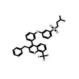 CC(C)CCS(=O)(=O)c1cccc(Oc2cccc(-c3c(Cc4ccccc4)cnc4c(C(F)(F)F)cccc34)c2)c1